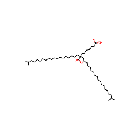 CC(C)CCCCCCCCCCCCCCCCCC(CCCCCCCCCCCCCCCCCC(C)C)(CCCCCCC(=O)O)C(=O)O